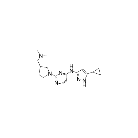 CN(C)CC1CCN(c2nccc(Nc3cc(C4CC4)[nH]n3)n2)C1